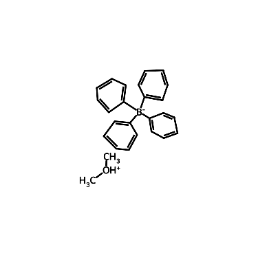 C[OH+]C.c1ccc([B-](c2ccccc2)(c2ccccc2)c2ccccc2)cc1